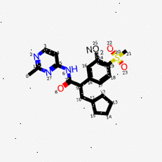 Cc1nccc(NC(=O)C(CC2CCCC2)c2ccc(S(C)(=O)=O)c([N+](=O)[O-])c2)n1